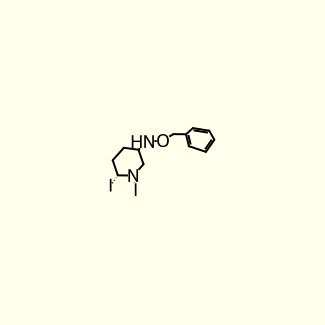 I[C@@H]1CCC(NOCc2ccccc2)CN1I